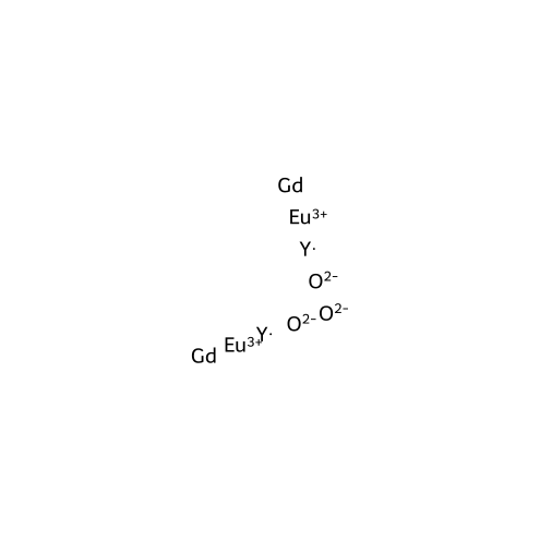 [Eu+3].[Eu+3].[Gd].[Gd].[O-2].[O-2].[O-2].[Y].[Y]